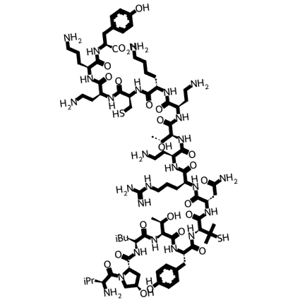 CC[C@H](C)[C@H](NC(=O)[C@@H]1C[C@@H](O)CN1C(=O)[C@@H](N)C(C)C)C(=O)N[C@H](C(=O)N[C@@H](Cc1ccc(O)cc1)C(=O)N[C@H](C(=O)N[C@@H](CC(N)=O)C(=O)N[C@@H](CCCNC(=N)N)C(=O)N[C@@H](CCN)C(=O)N[C@H](C(=O)N[C@H](CCN)C(=O)N[C@@H](CCCCN)C(=O)N[C@@H](CS)C(=O)N[C@@H](CCN)C(=O)N[C@@H](CCCN)C(=O)N[C@@H](Cc1ccc(O)cc1)C(=O)O)[C@@H](C)O)C(C)(C)S)[C@@H](C)O